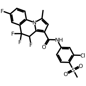 Cc1cc(C(=O)Nc2ccc(S(C)(=O)=O)c(Cl)c2)c2n1-c1ccc(F)cc1C(F)(F)C2F